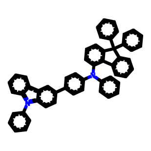 c1ccc(N(c2ccc(-c3ccc4c(c3)c3ccccc3n4-c3ccccc3)cc2)c2cccc3c2-c2ccccc2C3(c2ccccc2)c2ccccc2)cc1